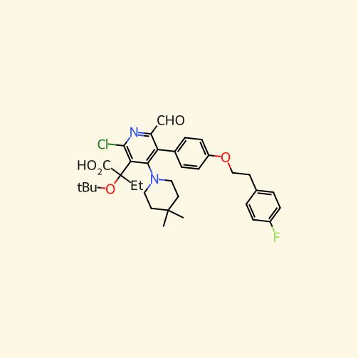 CCC(OC(C)(C)C)(C(=O)O)c1c(Cl)nc(C=O)c(-c2ccc(OCCc3ccc(F)cc3)cc2)c1N1CCC(C)(C)CC1